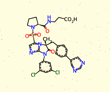 C[C@@]1(Cc2ccc(-c3cncnc3)cc2)C(=O)N(c2cc(Cl)cc(Cl)c2)c2ncc(S(=O)(=O)N3CCC[C@H]3C(=O)NCCC(=O)O)n21